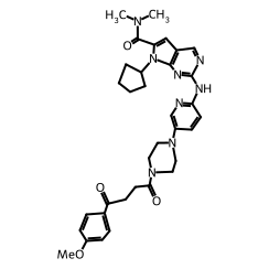 COc1ccc(C(=O)CCC(=O)N2CCN(c3ccc(Nc4ncc5cc(C(=O)N(C)C)n(C6CCCC6)c5n4)nc3)CC2)cc1